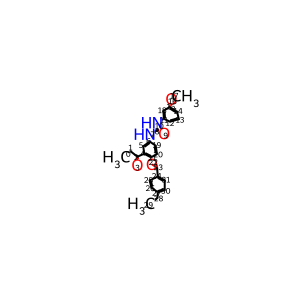 CCC(=O)c1cc(NC(=O)Nc2cccc(OC)c2)ccc1OCc1ccc(CC)cc1